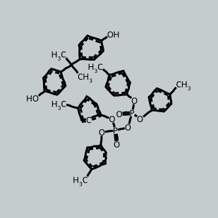 CC(C)(c1ccc(O)cc1)c1ccc(O)cc1.Cc1ccc(OP(=O)(Oc2ccc(C)cc2)OP(=O)(Oc2ccc(C)cc2)Oc2ccc(C)cc2)cc1